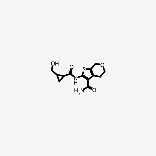 NC(=O)c1c(NC(=O)C2CC2CO)sc2c1CCOC2